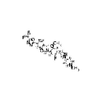 COc1cc(-c2cnn(C3CCN(C)CC3)c2)c(F)cc1N(C=O)Cc1ccc(-c2nnc(C(F)F)o2)cn1